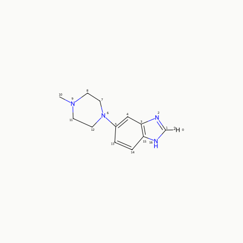 [2H]c1nc2cc(N3CCN(C)CC3)ccc2[nH]1